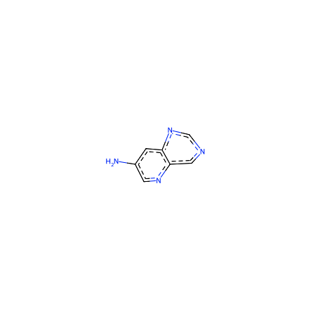 Nc1cnc2cncnc2c1